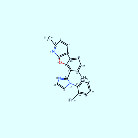 Cc1ccc2c(n1)oc1c(-c3nccn3-c3ccccc3C(C)C)c(C)ccc12